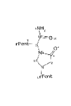 CCCCCC1CC(=O)N(C(CCCCC)C(N)=O)C1